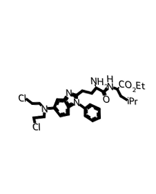 CCOC(=O)[C@H](CC(C)C)NC(=O)[C@@H](N)CCc1nc2cc(N(CCCl)CCCl)ccc2n1-c1ccccc1